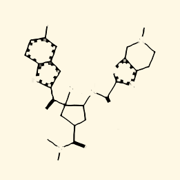 CN1CCc2nc(C(=O)NC3CC(C(=O)N(C)C)CC3(N)C(=O)c3cc4cc(Cl)ccc4[nH]3)sc2C1.Cl